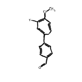 COc1ccc(-c2ccc(C=O)cc2)cc1F